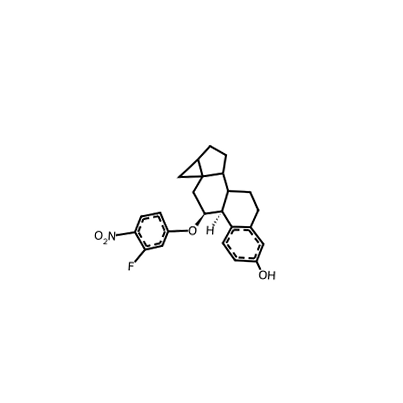 O=[N+]([O-])c1ccc(O[C@H]2CC34CC3CCC4C3CCc4cc(O)ccc4[C@H]32)cc1F